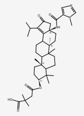 CC(C)C1=C2C3CCC4C(C)(CCC5C(C)(C)[C@@H](OC(=O)CC(C)(C)C(=O)O)CC[C@@]54C)[C@]3(C)CC[C@@]2(NC(=O)c2cncn2C)CC1=O